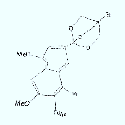 CCC12COC(c3cc(OC)c4cc(OC)c(OC)c(C(C)C)c4c3)(OC1)OC2